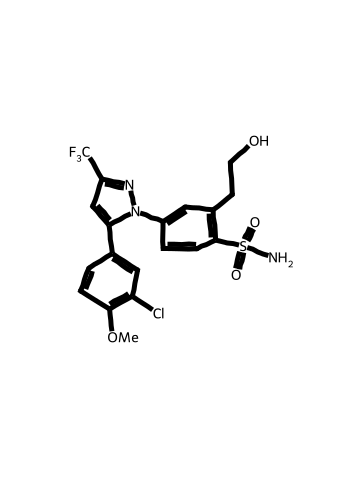 COc1ccc(-c2cc(C(F)(F)F)nn2-c2ccc(S(N)(=O)=O)c(CCO)c2)cc1Cl